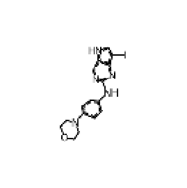 Ic1c[nH]c2cnc(Nc3ccc(N4CCOCC4)cc3)nc12